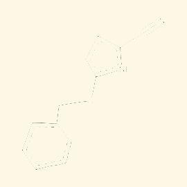 N#Cc1ccc(SCc2ccccc2)[nH]1